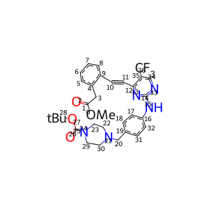 COC(=O)Cc1ccccc1C#Cc1nc(Nc2ccc(CN3CCN(C(=O)OC(C)(C)C)CC3)cc2)ncc1C(F)(F)F